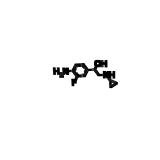 Nc1ccc(C(O)CNC2CC2)cc1F